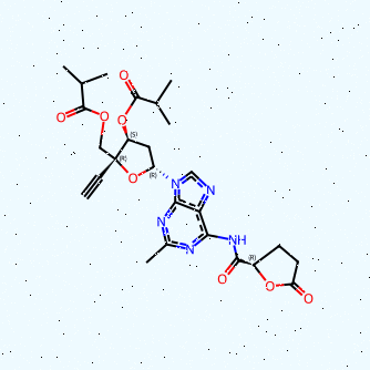 C#C[C@]1(COC(=O)C(C)C)O[C@@H](n2cnc3c(NC(=O)[C@H]4CCC(=O)O4)nc(C)nc32)C[C@@H]1OC(=O)C(C)C